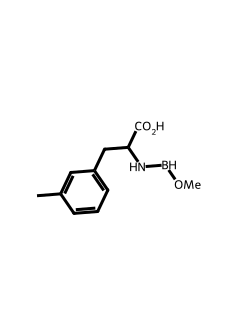 COBNC(Cc1cccc(C)c1)C(=O)O